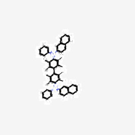 Cc1c(C)c(N(c2ccccc2)c2ccc3ccccc3c2)c(C)c(C)c1-c1c(C)c(C)c(N(c2ccccc2)c2ccc3ccccc3c2)c(C)c1C